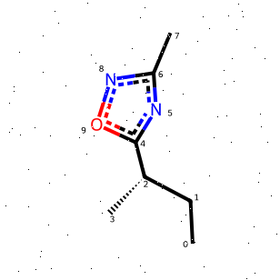 CC[C@H](C)c1nc(C)no1